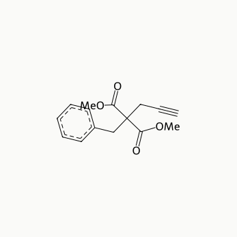 C#CCC(Cc1ccccc1)(C(=O)OC)C(=O)OC